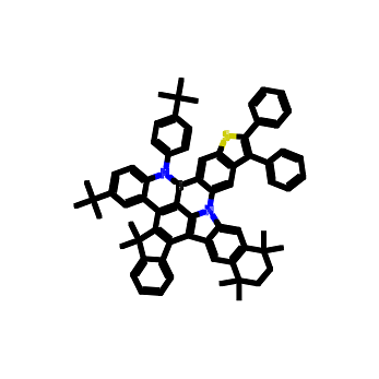 CC(C)(C)c1ccc(N2B3c4cc5sc(-c6ccccc6)c(-c6ccccc6)c5cc4-n4c5cc6c(cc5c5c7c(c(c3c54)-c3cc(C(C)(C)C)ccc32)C(C)(C)c2ccccc2-7)C(C)(C)CCC6(C)C)cc1